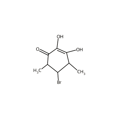 CC1C(=O)C(O)=C(O)C(C)C1Br